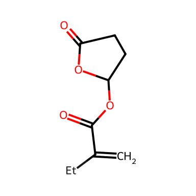 C=C(CC)C(=O)OC1CCC(=O)O1